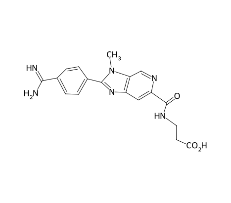 Cn1c(-c2ccc(C(=N)N)cc2)nc2cc(C(=O)NCCC(=O)O)ncc21